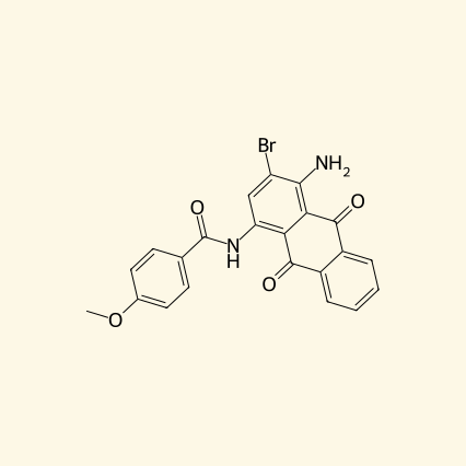 COc1ccc(C(=O)Nc2cc(Br)c(N)c3c2C(=O)c2ccccc2C3=O)cc1